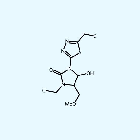 COCC1C(O)N(c2nnc(CCl)s2)C(=O)N1CCl